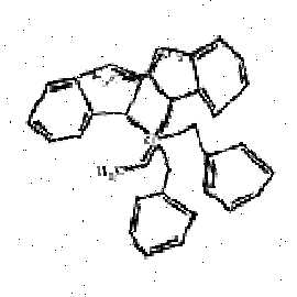 C[CH]=[Zr]([CH2]c1ccccc1)([CH2]c1ccccc1)([CH]1C(C)=Cc2ccccc21)[CH]1C(C)=Cc2ccccc21